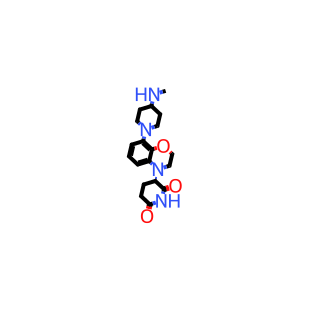 CNC1CCN(c2cccc3c2OCCN3[C@H]2CCC(=O)NC2=O)CC1